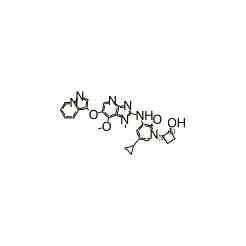 COc1c(Oc2cnn3ccccc23)cnc2nc(Nc3cc(C4CC4)cn([C@H]4CC[C@@H]4O)c3=O)n(C)c12